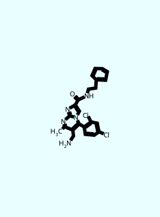 Cc1nc2nc(C(=O)NCCc3ccccc3)cn2c(-c2ccc(Cl)cc2Cl)c1CN